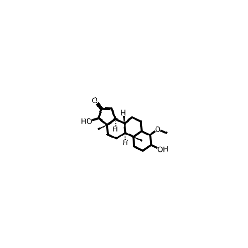 COC1C(O)CC[C@@]2(C)C1CC[C@@H]1[C@@H]2CC[C@]2(C)C(O)C(=O)C[C@@H]12